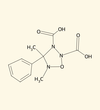 CN1ON(C(=O)O)N(C(=O)O)C1(C)c1ccccc1